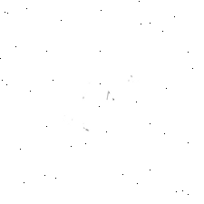 CC(=O)N1CC2CCC1CO2